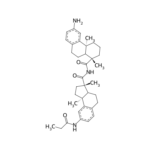 CCC(=O)Nc1ccc2c(c1)[C@@]1(C)CC[C@](C)(C(=O)NC(=O)[C@@]3(C)CCC[C@]4(C)c5cc(N)ccc5CCC34)C1CC2